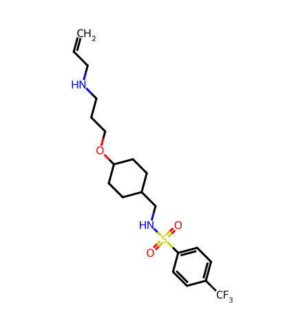 C=CCNCCCOC1CCC(CNS(=O)(=O)c2ccc(C(F)(F)F)cc2)CC1